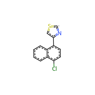 Clc1ccc(-c2cs[c]n2)c2ccccc12